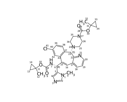 Cn1cncc1[C@H](NC(=O)OC1(C)CC1)C1=Cc2cccnc2[C@@H](N2CCN(C(=O)OC3(C)CC3)CC2)c2ccc(Cl)cc21